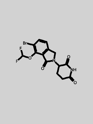 O=C1CCC(N2Cc3ccc(Br)c(OC(F)F)c3C2=O)C(=O)N1